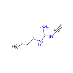 C#C/N=C(\N)NCCCC(C)(C)C